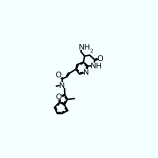 Cc1c(CN(C)C(=O)/C=C/c2cnc3c(c2)C(CN)CC(=O)N3)oc2ccccc12